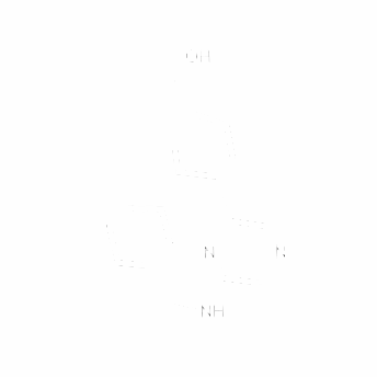 CC(Nc1cncc(-c2ccc(CO)cc2)n1)c1ccccc1